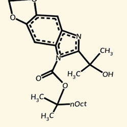 CCCCCCCCC(C)(C)OC(=O)n1c(C(C)(C)O)nc2cc3c(cc21)OCO3